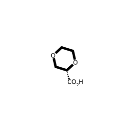 O=C(O)[C@@H]1COCCO1